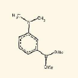 COB(OC)c1cccc(N(C)C)c1